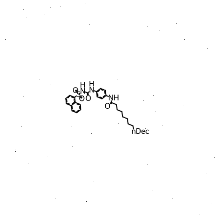 CCCCCCCCCCCCCCCCCC(=O)Nc1ccc(NC(=O)NS(=O)(=O)c2cccc3ccccc23)cc1